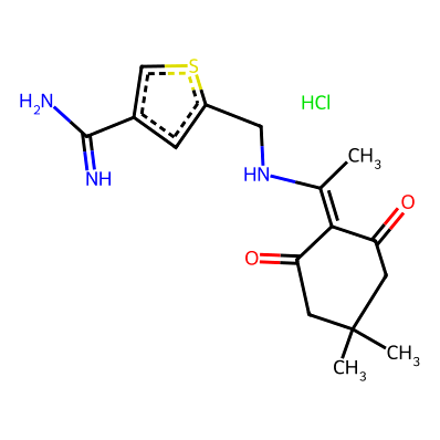 CC(NCc1cc(C(=N)N)cs1)=C1C(=O)CC(C)(C)CC1=O.Cl